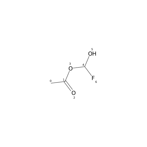 CC(=O)OC(O)F